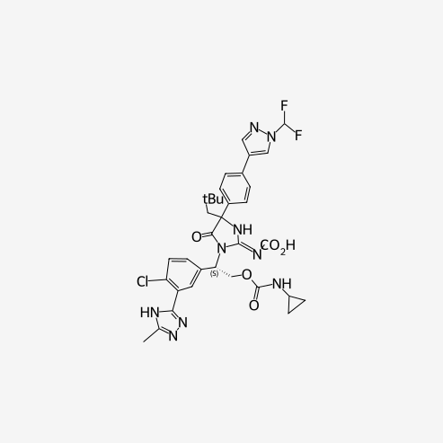 Cc1nnc(-c2cc([C@@H](COC(=O)NC3CC3)N3C(=O)C(CC(C)(C)C)(c4ccc(-c5cnn(C(F)F)c5)cc4)NC3=NC(=O)O)ccc2Cl)[nH]1